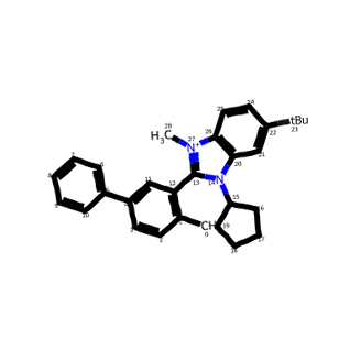 Cc1ccc(-c2ccccc2)cc1-c1n(C2CCCC2)c2cc(C(C)(C)C)ccc2[n+]1C